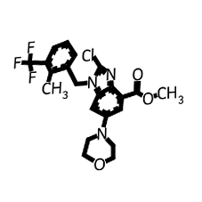 COC(=O)c1cc(N2CCOCC2)cc2c1nc(Cl)n2Cc1cccc(C(F)(F)F)c1C